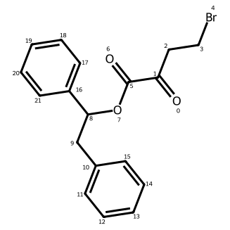 O=C(CCBr)C(=O)OC(Cc1ccccc1)c1ccccc1